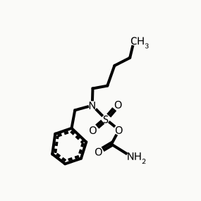 CCCCCN(Cc1ccccc1)S(=O)(=O)OC(N)=O